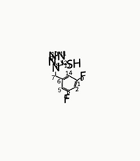 Fc1cc(F)cc(Cn2nnnc2S)c1